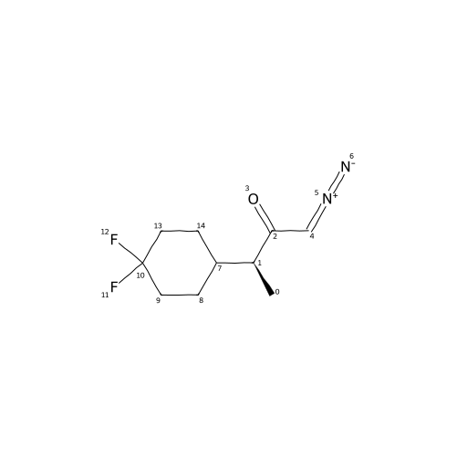 C[C@H](C(=O)C=[N+]=[N-])C1CCC(F)(F)CC1